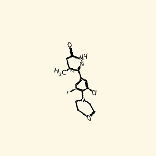 C[C@H]1CC(=O)NN=C1c1cc(F)c(N2CCOCC2)c(Cl)c1